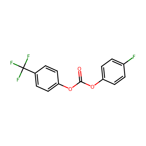 O=C(Oc1ccc(F)cc1)Oc1ccc(C(F)(F)F)cc1